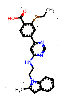 CCSc1cc(-c2cc(NCCn3c(C)cc4ccccc43)ncn2)ccc1C(=O)O